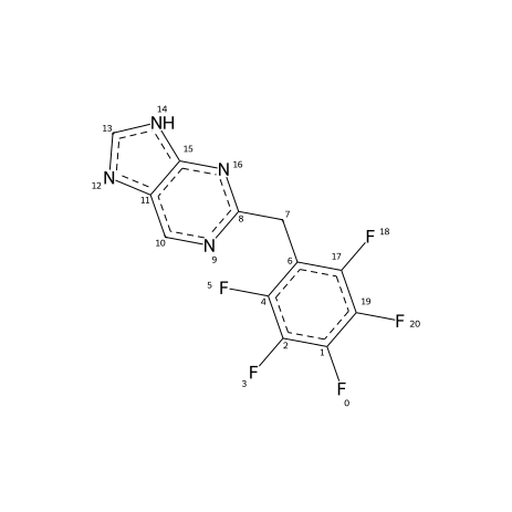 Fc1c(F)c(F)c(Cc2ncc3nc[nH]c3n2)c(F)c1F